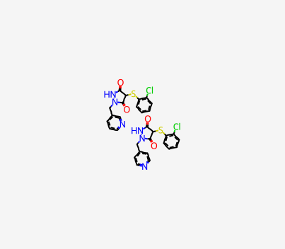 O=C1NN(Cc2cccnc2)C(=O)C1Sc1ccccc1Cl.O=C1NN(Cc2ccncc2)C(=O)C1Sc1ccccc1Cl